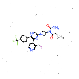 CCC(=O)N(C(N)=O)C1CN(c2cnc(-c3ccc(C(F)(F)F)cc3)c(-c3ccncc3CI)n2)C1